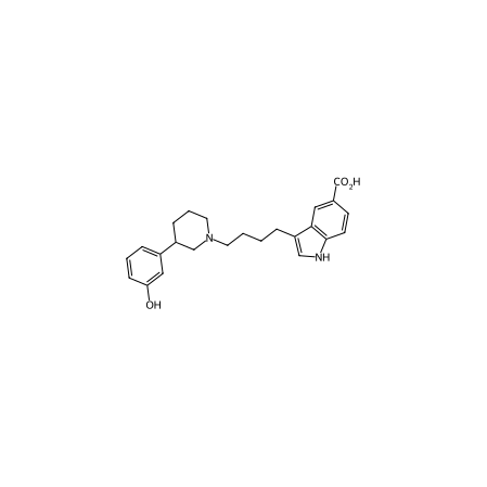 O=C(O)c1ccc2[nH]cc(CCCCN3CCCC(c4cccc(O)c4)C3)c2c1